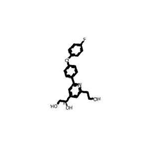 OCCc1cc([C@@H](O)CO)cc(-c2ccc(Oc3ccc(F)cc3)cc2)n1